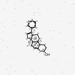 C[C@H]1C=C2C[C@H](O)CC[C@]2(C)[C@H]2CC[C@]3(C)C(c4cccnc4)=CC[C@H]3[C@H]12